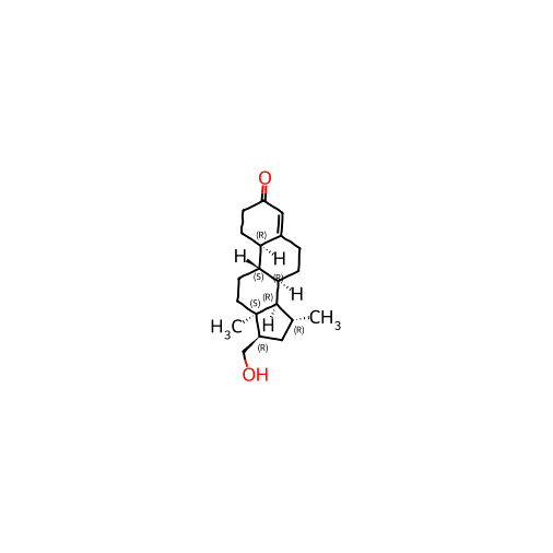 C[C@@H]1C[C@@H](CO)[C@@]2(C)CC[C@H]3[C@@H](CCC4=CC(=O)CC[C@@H]43)[C@@H]12